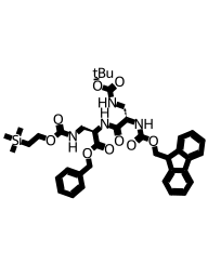 CC(C)(C)OC(=O)NC[C@H](NC(=O)OCC1c2ccccc2-c2ccccc21)C(=O)N[C@H](CNC(=O)OCC[Si](C)(C)C)C(=O)OCc1ccccc1